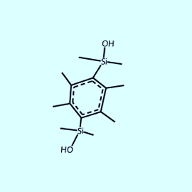 Cc1c(C)c([Si](C)(C)O)c(C)c(C)c1[Si](C)(C)O